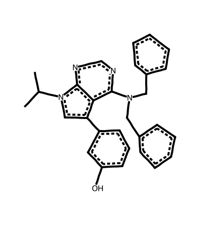 CC(C)n1cc(-c2cccc(O)c2)c2c(N(Cc3ccccc3)Cc3ccccc3)ncnc21